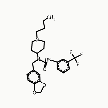 CCCCN1CCC(N(Cc2ccc3c(c2)OCO3)C(=O)Nc2cccc(C(F)(F)F)c2)CC1